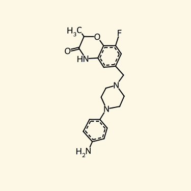 CC1Oc2c(F)cc(CN3CCN(c4ccc(N)cc4)CC3)cc2NC1=O